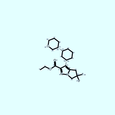 CCOC(=O)c1nn2c(c1[C@H]1CCCC([C@H]3CCCOC3)C1)CC(F)(F)C2